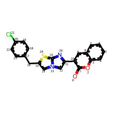 O=c1oc2ccccc2cc1-c1cn2cc(Cc3ccc(Cl)cc3)sc2n1